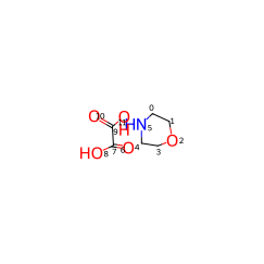 C1COCCN1.O=C(O)C(=O)O